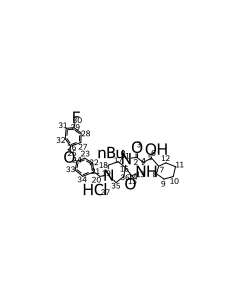 CCCCN1C(=O)[C@@H]([C@H](O)C2CCCCC2)NC(=O)C12CCN(Cc1ccc(Oc3ccc(F)cc3)cc1)CC2.Cl